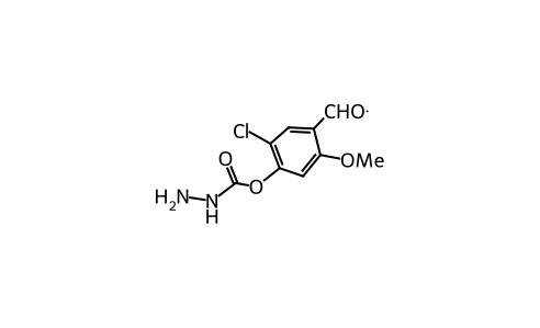 COc1cc(OC(=O)NN)c(Cl)cc1[C]=O